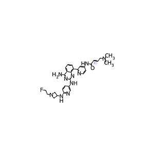 CN(C)C/C=C/C(=O)Nc1ccnc(-c2cccc3c(N)nc(Nc4ccc(NC5CN(CCF)C5)nc4)nc23)c1